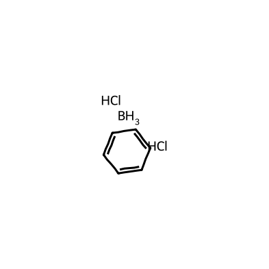 B.Cl.Cl.c1ccccc1